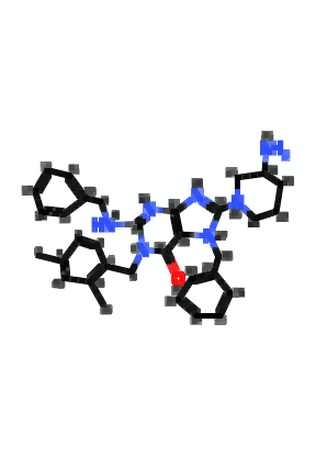 Cc1ccc(Cn2c(NCc3ccccc3)nc3nc(N4CCCC(N)C4)n(Cc4ccccc4)c3c2=O)c(C)c1